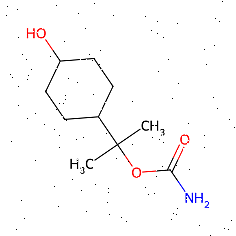 CC(C)(OC(N)=O)C1CCC(O)CC1